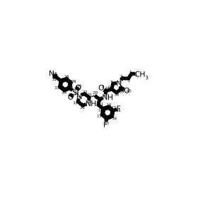 CCCCN1CC(C(=O)NC(Cc2cc(F)cc(F)c2)C[C@H]2CN(S(=O)(=O)c3ccc(C#N)cc3)CCN2)CC1=O